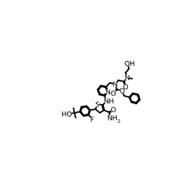 CN(CCO)C(=O)CN(Cc1cccc(NC2=C(C(N)=O)CC(c3ccc(C(C)(C)O)cc3F)S2)n1)C(=O)OCc1ccccc1